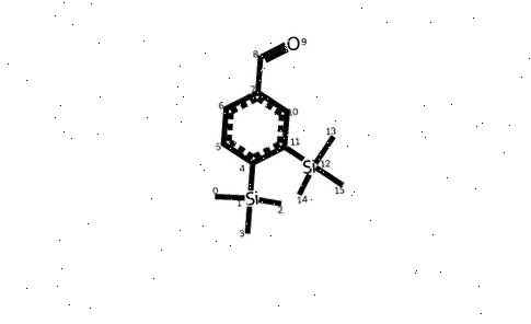 C[Si](C)(C)c1ccc(C=O)cc1[Si](C)(C)C